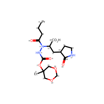 CCC1(OC(=O)NN(C(=O)CCC(C)C)C(CC2CCNC2=O)C(=O)O)COCOC1